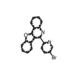 Brc1ccc(-c2nc3ccccc3c3oc4ccccc4c23)nc1